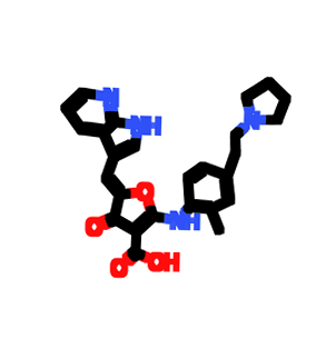 Cc1cc(CCN2CCCC2)ccc1NC1=C(C(=O)O)C(=O)C(=Cc2c[nH]c3ncccc23)O1